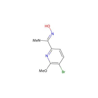 CN/C(=N\O)c1ccc(Br)c(OC)n1